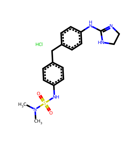 CN(C)S(=O)(=O)Nc1ccc(Cc2ccc(NC3=NCCN3)cc2)cc1.Cl